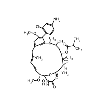 COc1cc2cc(c1-c1ccc(N)cc1Cl)N(C)C(O)C[C@H](OC(=O)C(C)C)[C@]1(C)O[C@H]1[C@H](C)[C@@H]1C[C@@](O)(NC(=O)O1)[C@H](OC)/C=C/C=C(\C)C2